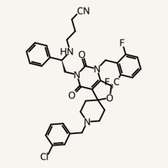 N#CCCCN[C@@H](Cn1c(=O)c2c(n(Cc3c(F)cccc3C(F)(F)F)c1=O)COC21CCN(Cc2cccc(Cl)c2)CC1)c1ccccc1